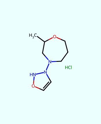 CC1CN(N2C=CON2)CCCO1.Cl